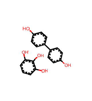 Oc1ccc(-c2ccc(O)cc2)cc1.Oc1cccc(O)c1O